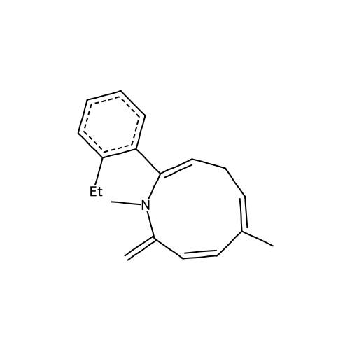 C=C1/C=C\C(C)=C/C/C=C(/c2ccccc2CC)N1C